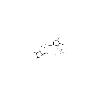 BC1OC(COP(=O)(O)O[C@H]2C(COC)OC(B)C2F)[C@H](OP(=O)(O)OC)C1F